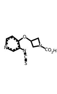 O=C(O)N1CC(Oc2ccncc2N=C=S)C1